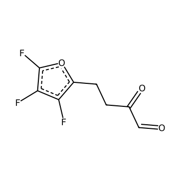 O=CC(=O)CCc1oc(F)c(F)c1F